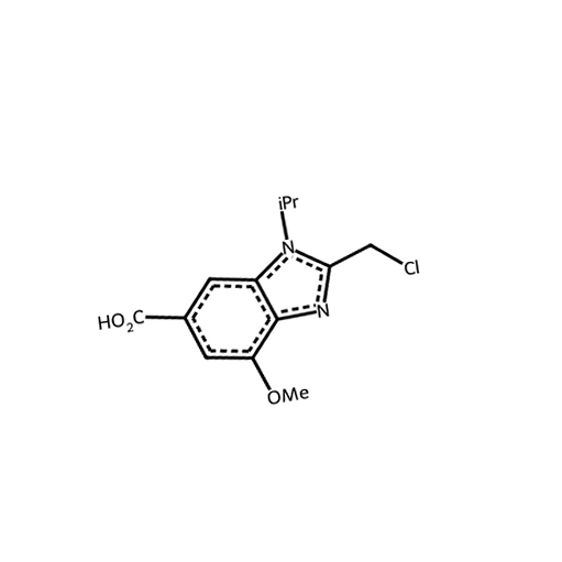 COc1cc(C(=O)O)cc2c1nc(CCl)n2C(C)C